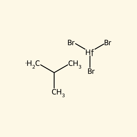 [Br][Hf]([Br])[Br].[CH2]C(C)C